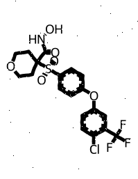 O=C(NO)C1(S(=O)(=O)c2ccc(Oc3ccc(Cl)c(C(F)(F)F)c3)cc2)CCOCC1